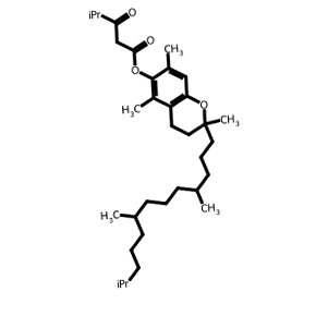 Cc1cc2c(c(C)c1OC(=O)CC(=O)C(C)C)CCC(C)(CCCC(C)CCCC(C)CCCC(C)C)O2